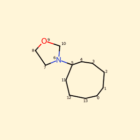 C1CCCCC(N2CCOC2)CCC1